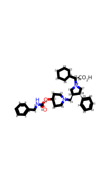 O=C(NCc1ccccc1)OC1CCN(C[C@H]2CN([C@@H](C(=O)O)C3CCCCC3)C[C@@H]2c2ccccc2)CC1